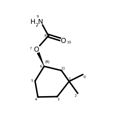 CC1(C)CCC[C@@H](OC(N)=O)C1